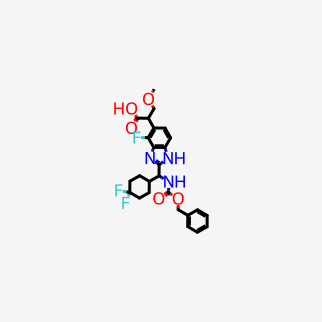 COCC(C(=O)O)c1ccc2[nH]c(C(NC(=O)OCc3ccccc3)C3CCC(F)(F)CC3)nc2c1F